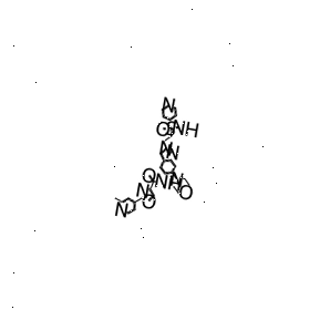 Cc1cc(-c2nc(C(=O)Nc3cc4cn(CCS(=N)(=O)c5ccncc5)nc4cc3N3CCOCC3)co2)ccn1